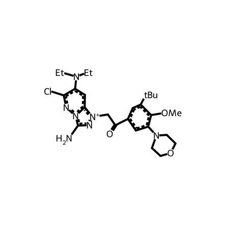 CCN(CC)c1cc2n(nc1Cl)c(N)n[n+]2CC(=O)c1cc(N2CCOCC2)c(OC)c(C(C)(C)C)c1